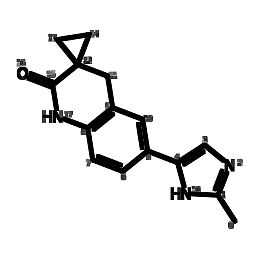 Cc1ncc(-c2ccc3c(c2)CC2(CC2)C(=O)N3)[nH]1